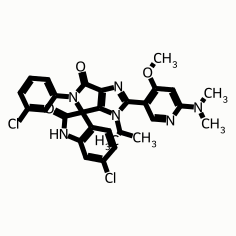 COc1cc(N(C)C)ncc1-c1nc2c(n1C(C)C)C1(C(=O)Nc3cc(Cl)ccc31)N(c1cccc(Cl)c1)C2=O